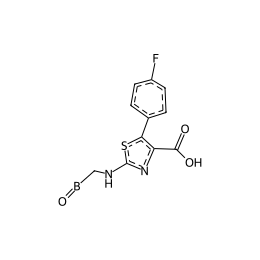 O=BCNc1nc(C(=O)O)c(-c2ccc(F)cc2)s1